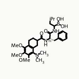 COc1c2c(c(N(C)C)c(OC)c1OC)CC(C(=O)N[C@@H](Cc1ccccc1)C(=O)NC(CC(C)C)B(O)O)CC2